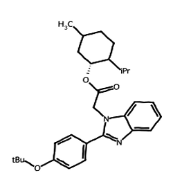 CC1CCC(C(C)C)[C@H](OC(=O)Cn2c(-c3ccc(OC(C)(C)C)cc3)nc3ccccc32)C1